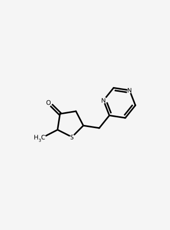 CC1SC(Cc2ccncn2)CC1=O